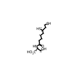 O=C(CCCCC(S)CCS)N[C@@H](CO)C(=O)O